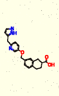 O=C(O)C1CCc2ccc(COc3ccc(Cc4ccn[nH]4)nc3)cc2C1